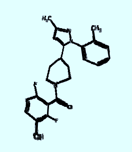 Cc1cc(C2CCN(C(=O)c3c(F)ccc(O)c3F)CC2)n(-c2ccccc2C)n1